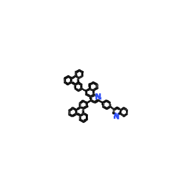 c1ccc2ncc(-c3ccc(-c4cc(-c5ccc6c7ccccc7c7ccccc7c6c5)c5cc(-c6ccc7c8ccccc8c8ccccc8c7c6)c6ccccc6c5n4)cc3)cc2c1